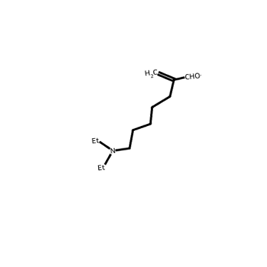 C=C([C]=O)CCCCCN(CC)CC